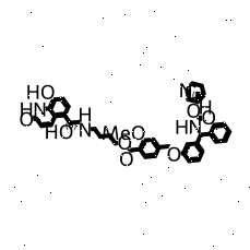 COc1cc(COc2cccc(C(NC(=O)O[C@H]3CN4CCC3CC4)c3ccccc3)c2)ccc1C(=O)OCCCCNC[C@@H](O)c1ccc(O)c2[nH]c(=O)ccc12